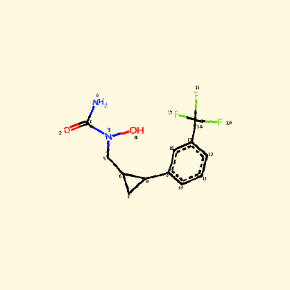 NC(=O)N(O)CC1CC1c1cccc(C(F)(F)F)c1